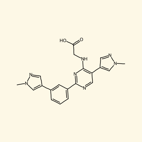 Cn1cc(-c2cccc(-c3ncc(-c4cnn(C)c4)c(NCC(=O)O)n3)c2)cn1